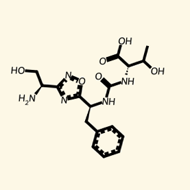 CC(O)[C@H](NC(=O)N[C@@H](Cc1ccccc1)c1nc([C@@H](N)CO)no1)C(=O)O